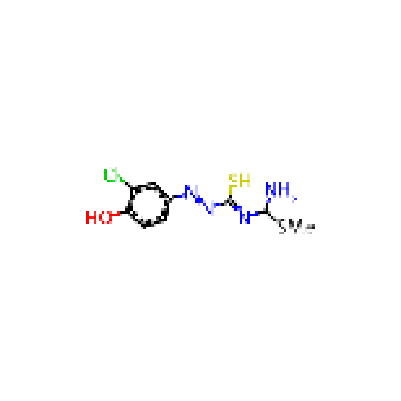 CSC(N)/N=C(S)/N=N/c1ccc(O)c(Cl)c1